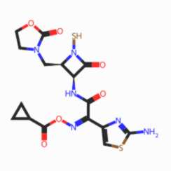 Nc1nc(/C(=N/OC(=O)C2CC2)C(=O)N[C@@H]2C(=O)N(S)[C@@H]2CN2CCOC2=O)cs1